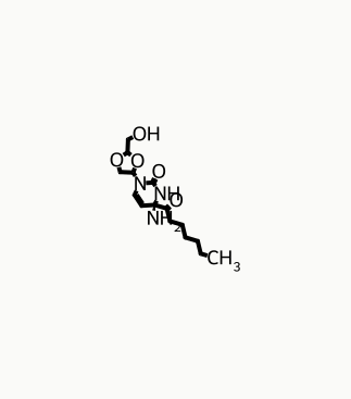 CCCCCCC(=O)[C@]1(N)C=CN(C2COC(CO)O2)C(=O)N1